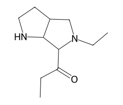 CCC(=O)C1C2NCCC2CN1CC